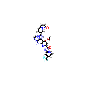 CCOc1cc(C(=O)Nc2cc(C(F)(F)F)ccn2)ncc1-c1nc([C@@H]2CC[C@H]3CCC(=O)N3C2)n2ccnc(N)c12